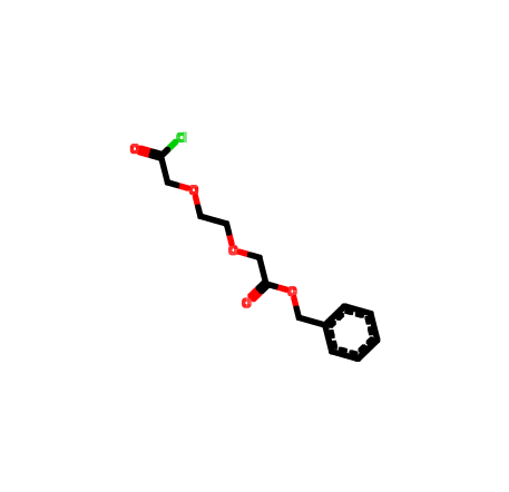 O=C(Cl)COCCOCC(=O)OCc1ccccc1